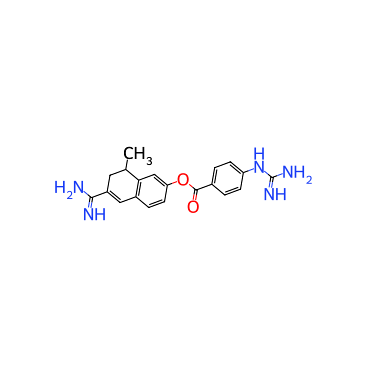 CC1CC(C(=N)N)=Cc2ccc(OC(=O)c3ccc(NC(=N)N)cc3)cc21